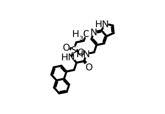 CCCS(=O)(=O)NC(Cc1cccc2ccccc12)C(=O)NCc1cnc2[nH]ccc2c1